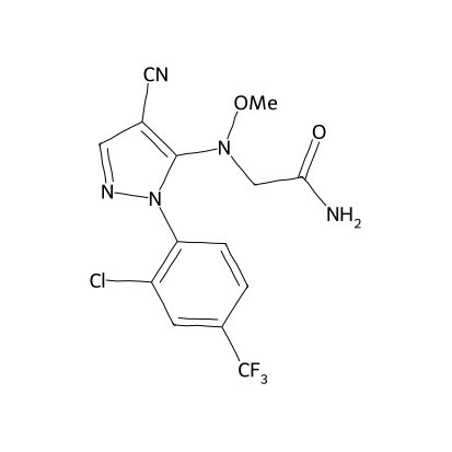 CON(CC(N)=O)c1c(C#N)cnn1-c1ccc(C(F)(F)F)cc1Cl